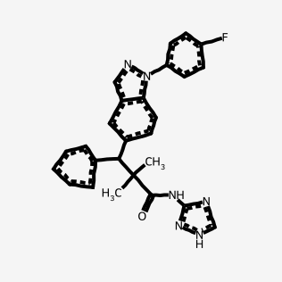 CC(C)(C(=O)Nc1nc[nH]n1)C(c1ccccc1)c1ccc2c(cnn2-c2ccc(F)cc2)c1